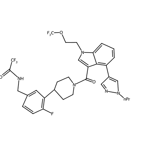 CCCn1cc(-c2cccc3c2c(C(=O)N2CCC(c4cc(CNC(=O)C(F)(F)F)ccc4F)CC2)cn3CCOC(F)(F)F)cn1